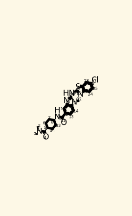 CN(C)C(=O)[C@H]1CC[C@H](NC(=O)c2ccc3c(c2)nc(Nc2nc4ccc(Cl)cc4s2)n3C)CC1